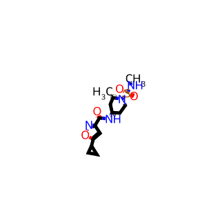 CNS(=O)(=O)N1CC[C@@H](NC(=O)c2cc(C3CC3)on2)C[C@@H]1C